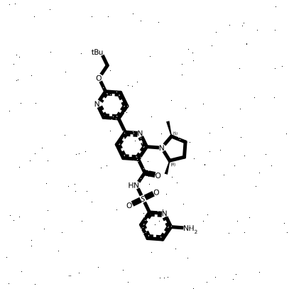 C[C@@H]1CC[C@H](C)N1c1nc(-c2ccc(OCC(C)(C)C)nc2)ccc1C(=O)NS(=O)(=O)c1cccc(N)n1